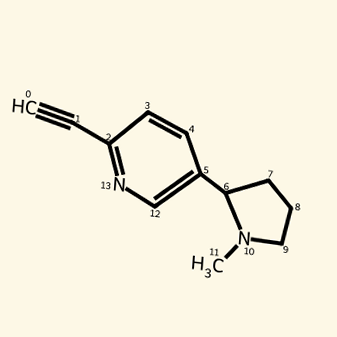 C#Cc1ccc(C2CCCN2C)cn1